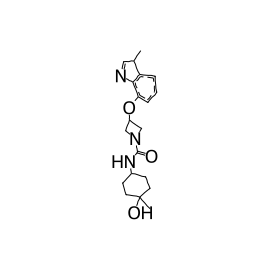 CC1C=Nc2c(OC3CN(C(=O)NC4CCC(C)(O)CC4)C3)cccc21